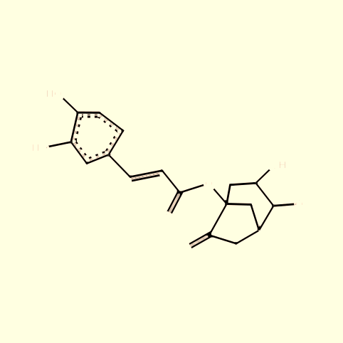 O=C(/C=C/c1ccc(O)c(O)c1)OC12CC(O)C(O)C(CC1=O)C2